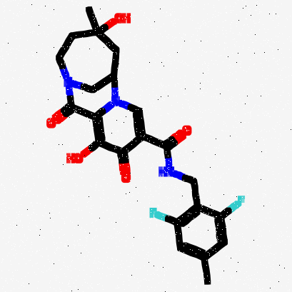 Cc1cc(F)c(CNC(=O)c2cn3c(c(O)c2=O)C(=O)N2CCC(C)(O)CC3C2)c(F)c1